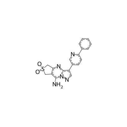 Nc1c2c(nc3c(-c4ccc(-c5ccccc5)nc4)cnn13)CS(=O)(=O)C2